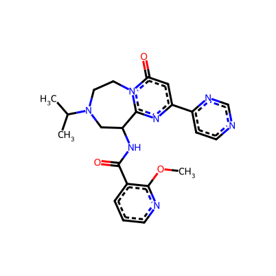 COc1ncccc1C(=O)NC1CN(C(C)C)CCn2c1nc(-c1ccncn1)cc2=O